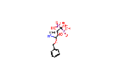 O=CNC(CCC(O)(P(=O)(O)O)P(=O)(O)O)OCc1ccccc1